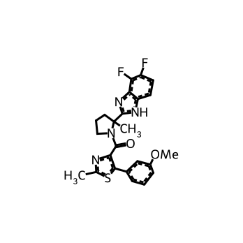 COc1cccc(-c2sc(C)nc2C(=O)N2CCCC2(C)c2nc3c(F)c(F)ccc3[nH]2)c1